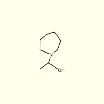 CC(O)[N+]1CCCCCC1